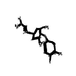 CCN(C)C=Nc1cc(C)c(Oc2ccc(F)c(C(F)(F)F)c2)c(C)c1